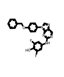 Oc1c(F)cc(Nc2ncc3ncn(-c4ccc(OCc5ccccc5)cc4)c3n2)cc1F